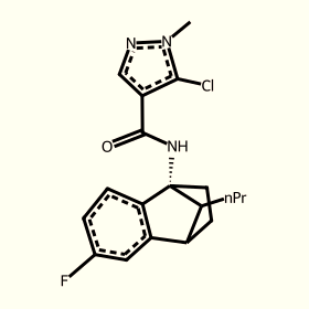 CCCC1C2CC[C@]1(NC(=O)c1cnn(C)c1Cl)c1ccc(F)cc12